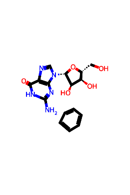 Nc1nc2c(ncn2[C@@H]2O[C@H](CO)[C@@H](O)[C@H]2O)c(=O)[nH]1.c1ccccc1